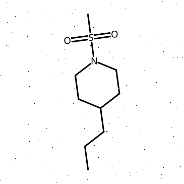 CC[CH]C1CCN(S(C)(=O)=O)CC1